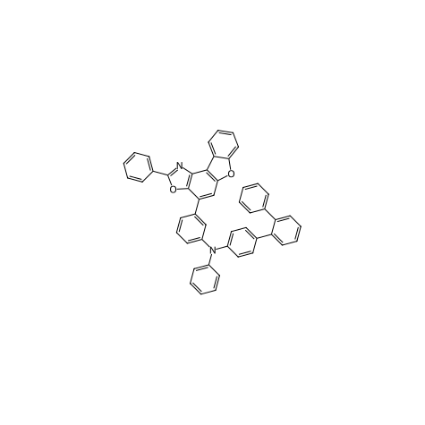 c1ccc(-c2nc3c(o2)c(-c2cccc(N(c4ccccc4)c4ccc(-c5ccccc5-c5ccccc5)cc4)c2)cc2oc4ccccc4c23)cc1